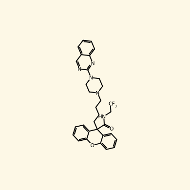 O=C(NCC(F)(F)F)C1(CCCCN2CCN(c3ncc4ccccc4n3)CC2)c2ccccc2Oc2ccccc21